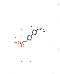 [CH2]c1ccc(-c2ccc(C=CC(=O)O)cc2)cc1